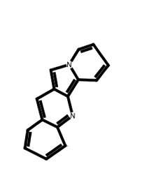 [c]1cccc2cc3cn4ccccc4c3nc12